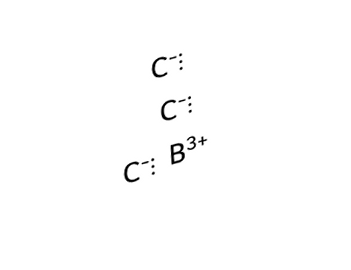 [B+3].[C-].[C-].[C-]